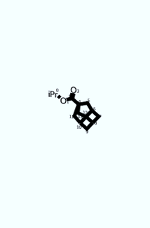 CC(C)OC(=O)C12CC3CC4CC(C1)C43C2